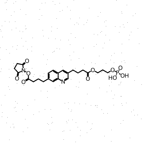 O=C(CCCc1cnc2cc(CCCC(=O)ON3C(=O)CCC3=O)ccc2c1)OCCCOP(=O)(O)O